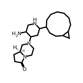 NC1CNC(C2CCCCCCC3CC3CC2)CC1N1CCN2C(=O)CC[C@H]2C1